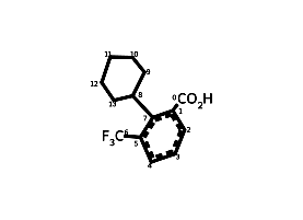 O=C(O)c1cccc(C(F)(F)F)c1C1CCCCC1